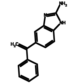 C=C(c1ccccc1)c1ccc2[nH]c(N)nc2c1